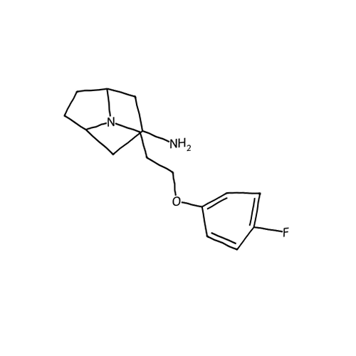 NC1CC2CCC(C1)N2CCCOc1ccc(F)cc1